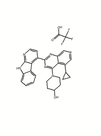 O=C(O)C(F)(F)F.OC1CCN(c2nc(-c3ccnc4[nH]c5ccccc5c34)nc3cncc(C4CC4)c23)CC1